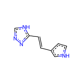 C(=Cc1nnc[nH]1)c1cc[nH]c1